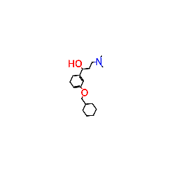 CN(C)CCC(O)C1=CC(OCC2CCCCC2)=CCC1